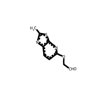 Cc1nc2ccc(OCC=O)nc2s1